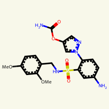 COc1ccc(CNS(=O)(=O)c2cc(N)ccc2-n2cc(OC(N)=O)cn2)c(OC)c1